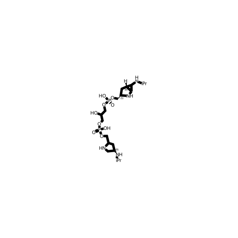 CC(C)NC1C2N[C@H](COP(=O)(O)OCC(O)COP(=O)(O)OCC3C[C@@H](NC(C)C)CN3)C[C@H]12